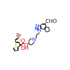 O=Cc1cc2nnn(CCCN3CCC(OC(=O)[C@@](O)(c4cccs4)c4ccc(Br)s4)CC3)c2c2c1CCC2